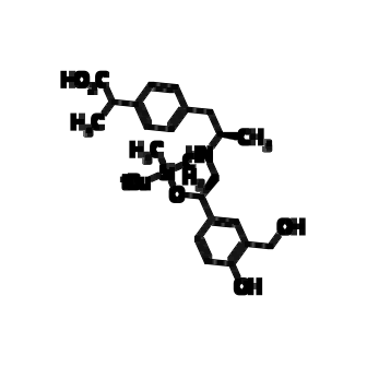 CC(C(=O)O)c1ccc(C[C@@H](C)NC[C@H](O[Si](C)(C)C(C)(C)C)c2ccc(O)c(CO)c2)cc1